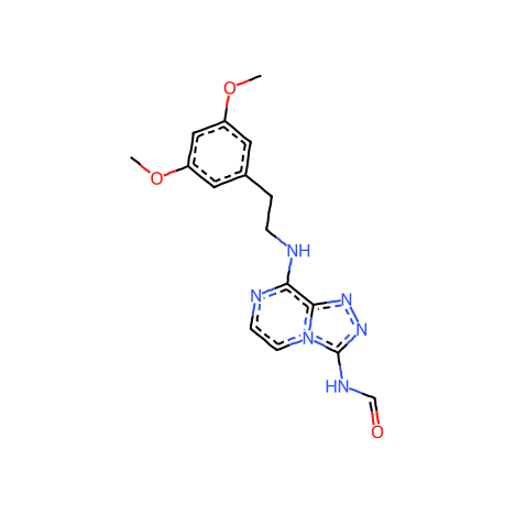 COc1cc(CCNc2nccn3c(NC=O)nnc23)cc(OC)c1